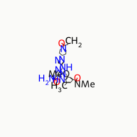 C=CC(=O)N1CCC(n2cc(Nc3ncc(C(N)=O)c(Nc4c(C)cc(C(=O)NC)cc4OC)n3)cn2)CC1